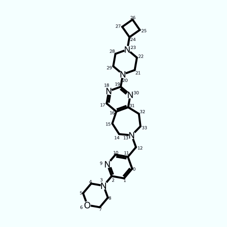 c1cc(N2CCOCC2)ncc1CN1CCc2cnc(N3CCN(C4CCC4)CC3)nc2CC1